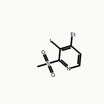 CCc1ccnc(S(C)(=O)=O)c1I